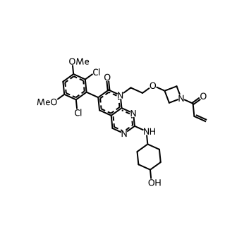 C=CC(=O)N1CC(OCCn2c(=O)c(-c3c(Cl)c(OC)cc(OC)c3Cl)cc3cnc(NC4CCC(O)CC4)nc32)C1